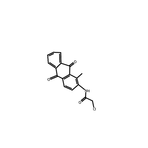 Cc1c(NC(=O)CCl)ccc2c1C(=O)c1ccccc1C2=O